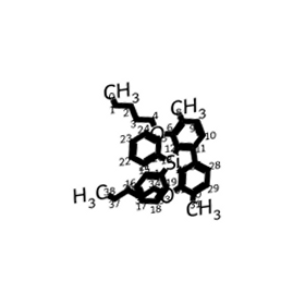 CCCCCOc1c(C)ccc2c1[Si](c1ccccc1)(c1ccccc1)c1c-2ccc(C)c1OCCCCC